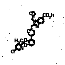 C[C@@]1(c2ccc(Cl)cn2)Oc2cccc(C3=CC[C@H](Cc4nc5ccc(C(=O)O)cc5n4C[C@@H]4CCO4)OC3)c2O1